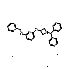 c1ccc(COc2cccc(OC3CN(C(c4ccccc4)c4ccccc4)C3)c2)cc1